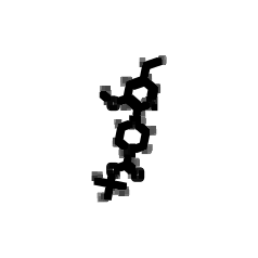 CCc1cnc(N2CCN(C(=O)OC(C)(C)C)CC2)c(OC)c1